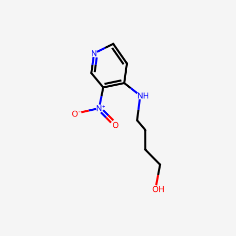 O=[N+]([O-])c1cnccc1NCCCCO